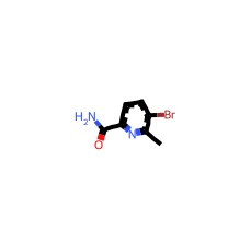 Cc1nc(C(N)=O)ccc1Br